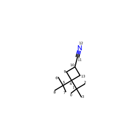 CC(C)(C)C1(C(C)(C)C)CC(C#N)C1